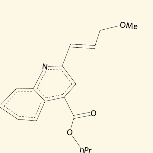 CCCOC(=O)c1cc(C=CCOC)nc2ccccc12